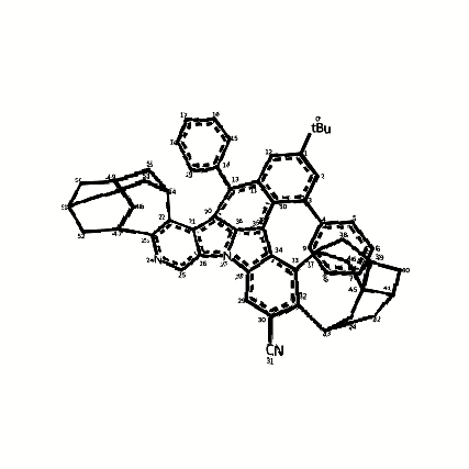 CC(C)(C)c1cc(-c2ccccc2)c2c(c1)c(-c1ccccc1)c1c3c4c(ncc3n3c5cc(C#N)c6c(c5c2c13)C1CC2CC3CC6CC32C1)C1CC2CC(C1)CC4C2